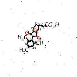 Cc1cc(C)c(C2C(=O)C3C4CC(C=CC(=O)O)C(O4)C3C2=O)c(C)c1